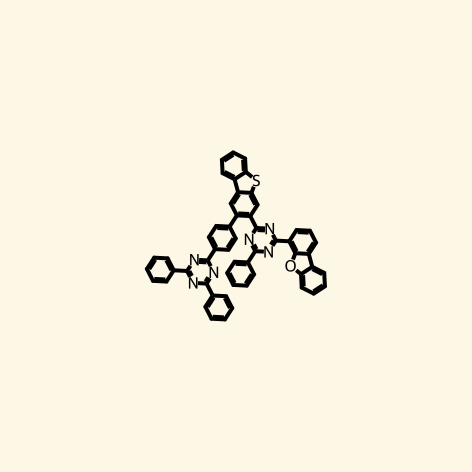 c1ccc(-c2nc(-c3ccccc3)nc(-c3ccc(-c4cc5c(cc4-c4nc(-c6ccccc6)nc(-c6cccc7c6oc6ccccc67)n4)sc4ccccc45)cc3)n2)cc1